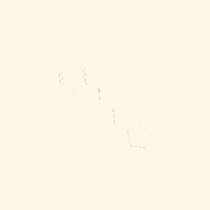 O=C(CC1CCCC1)NC(=O)c1ccccc1